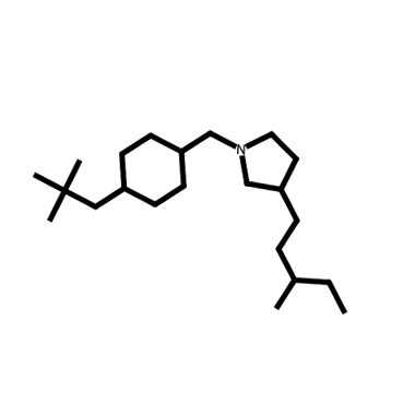 CCC(C)CCC1CCN(CC2CCC(CC(C)(C)C)CC2)C1